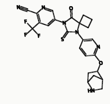 N#Cc1ncc(N2C(=O)C3(CCC3)N(c3ccc(OC4CC5CC4CN5)nc3)C2=S)cc1C(F)(F)F